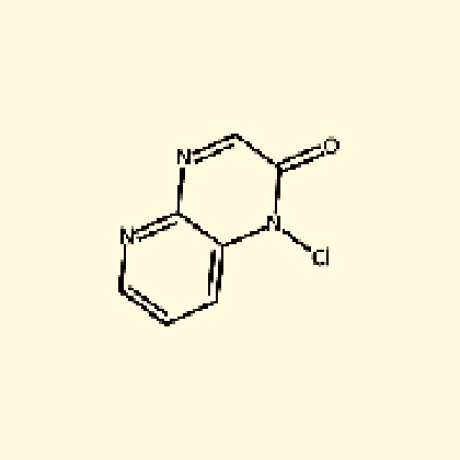 O=c1cnc2ncccc2n1Cl